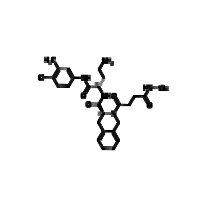 Cc1cc(NC(=O)[C@H](CCN)NC(=O)[C@@H]2Cc3ccccc3CN2C(=O)CCC(=O)NC(C)(C)C)ccc1Cl